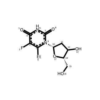 CCc1c(F)c(=O)[nH]c(=O)n1[C@@H]1CC(O)[C@H](CO)O1